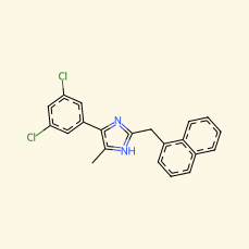 Cc1[nH]c(Cc2cccc3ccccc23)nc1-c1cc(Cl)cc(Cl)c1